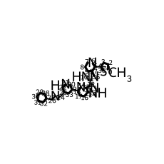 Cc1ccc(-c2nccc3[nH]c(-c4n[nH]c5ccc(-c6cncc(CNCc7ccccc7)c6)nc45)nc23)s1